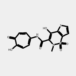 CN1C(C(=O)Nc2ccc(O)c(=O)cc2)=C(O)c2sccc2S1(=O)=O